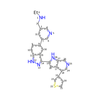 CCNCc1cncc(-c2ccc3[nH]nc(-c4cc5c(-c6ccsc6)cncc5[nH]4)c3c2)c1